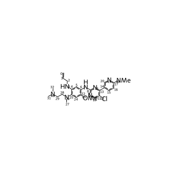 C=CCNc1cc(Nc2ncc(Cl)c(-c3ccc(NC)nc3)n2)c(OC)cc1N(C)CCN(C)C